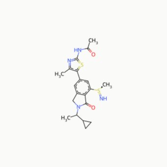 CC(=O)Nc1nc(C)c(-c2cc3c(c([S@@](C)=N)c2)C(=O)N(C(C)C2CC2)C3)s1